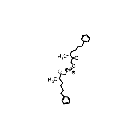 C[C@@H](CCCCc1ccccc1)C(=O)CO[PH](=O)OCC(=O)[C@@H](C)CCCCc1ccccc1